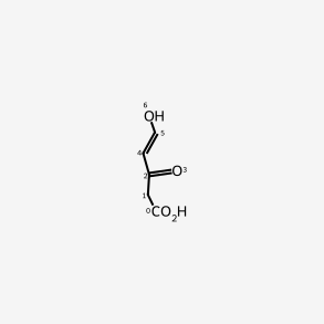 O=C(O)CC(=O)C=CO